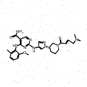 COc1cccc(C)c1Nc1nc(Nc2cnn([C@@H]3CCCN(C(=O)/C=C/CN(C)C)C3)c2)ncc1C(N)=O